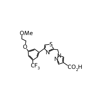 COCCOc1cc(-c2csc(Cn3cc(C(=O)O)cn3)n2)cc(C(F)(F)F)c1